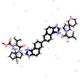 COC(=O)N[C@H](C(=O)N1[C@H](c2nc3ccc4cc(-c5ccc6c(ccc7nc([C@@H]8C[C@@]9(CCCOC9)CN8C(=O)[C@@H](C)C(C)C)[nH]c76)c5)ccc4c3[nH]2)C[C@@H]2CCC[C@@H]21)C(C)C